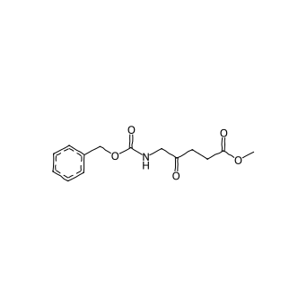 COC(=O)CCC(=O)CNC(=O)OCc1ccccc1